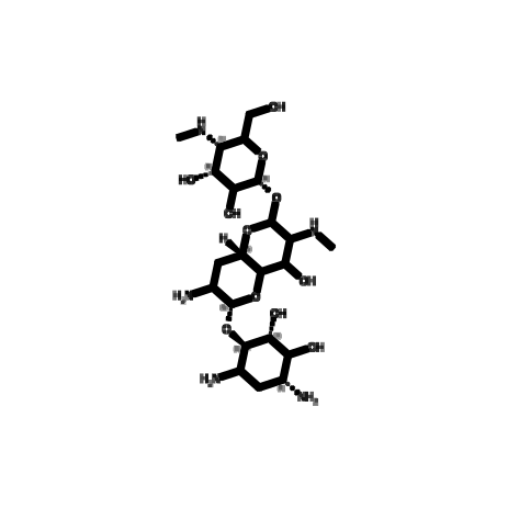 CNC1C(O[C@H]2OC(CO)[C@@H](NC)[C@@H](O)C2O)O[C@H]2CC(N)[C@@H](O[C@@H]3C(N)C[C@@H](N)C(O)[C@H]3O)OC2C1O